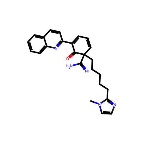 Cn1ccnc1CCCCCC1(C(=N)N)C=CC=C(c2ccc3ccccc3n2)C1=O